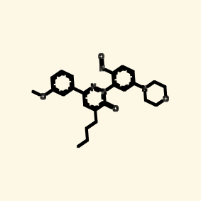 CCCCc1cc(-c2cccc(OC)c2)nn(-c2cc(N3CCOCC3)ccc2N=O)c1=O